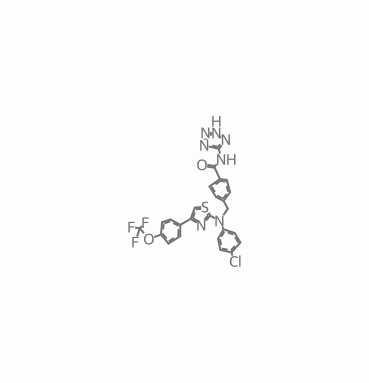 O=C(Nc1nn[nH]n1)c1ccc(CN(c2ccc(Cl)cc2)c2nc(-c3ccc(OC(F)(F)F)cc3)cs2)cc1